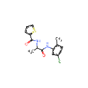 Cc1ccc(Cl)cc1NC(=O)C(C)NC(=O)c1cccs1